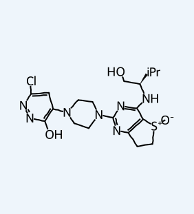 CC(C)[C@H](CO)Nc1nc(N2CCN(c3cc(Cl)nnc3O)CC2)nc2c1[S+]([O-])CC2